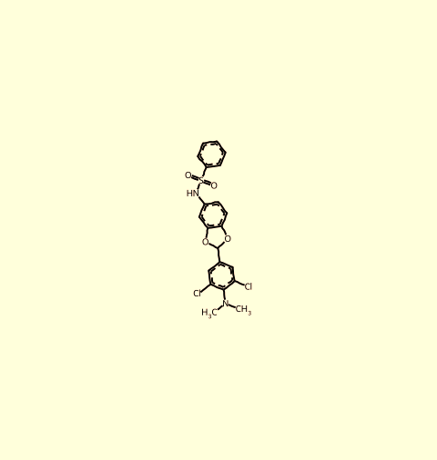 CN(C)c1c(Cl)cc(C2Oc3ccc(NS(=O)(=O)c4ccccc4)cc3O2)cc1Cl